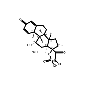 C[C@H]1C[C@H]2[C@@H]3CCC4=CC(=O)C=C[C@]4(C)[C@@]3(F)[C@@H](O)C[C@]2(C)[C@@]1(OP(=O)(O)O)C(=O)CO.[NaH]